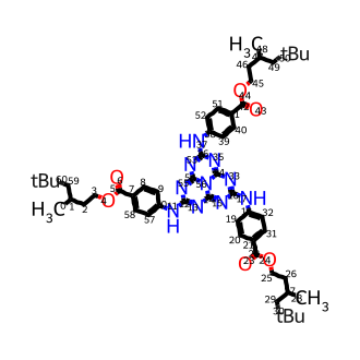 CC(CCOC(=O)c1ccc(NC2=NC3=NC(Nc4ccc(C(=O)OCCC(C)CC(C)(C)C)cc4)=NC4=NC(Nc5ccc(C(=O)OCCC(C)CC(C)(C)C)cc5)=NC(=N2)N34)cc1)CC(C)(C)C